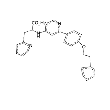 O=C(O)C(Cc1ccccn1)Nc1cc(-c2ccc(OCCc3ccccc3)cc2)ncn1